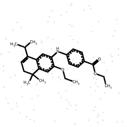 CCOC(=O)c1ccc(Nc2cc3c(cc2OCC)C(C)(C)CC=C3C(C)C)cc1